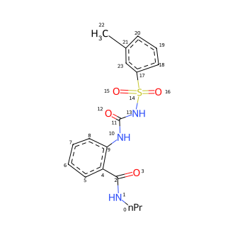 CCCNC(=O)c1ccccc1NC(=O)NS(=O)(=O)c1cccc(C)c1